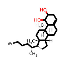 CC(C)CCC[C@@H](C)[C@H]1CC[C@H]2[C@@H]3CCC4=CCC(O)C(O)[C@]4(C)[C@H]3CC[C@]12C